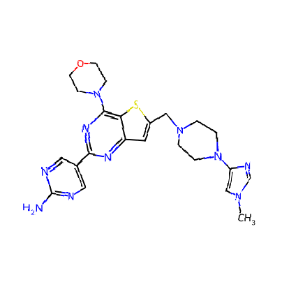 Cn1cnc(N2CCN(Cc3cc4nc(-c5cnc(N)nc5)nc(N5CCOCC5)c4s3)CC2)c1